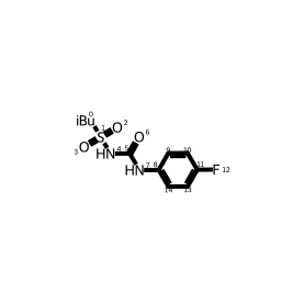 CCC(C)S(=O)(=O)NC(=O)Nc1ccc(F)cc1